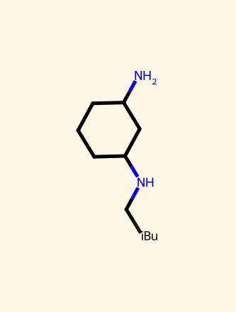 CCC(C)CNC1CCCC(N)C1